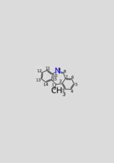 CC1c2ccccc2C=Nc2ccccc21